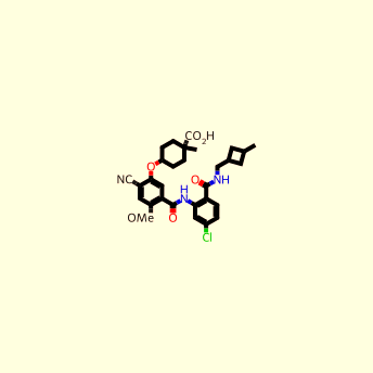 COc1cc(C#N)c(OC2CCC(C)(C(=O)O)CC2)cc1C(=O)Nc1cc(Cl)ccc1C(=O)NCC1CC(C)C1